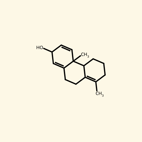 CC1=C2CCC3=CC(O)C=CC3(C)C2CCC1